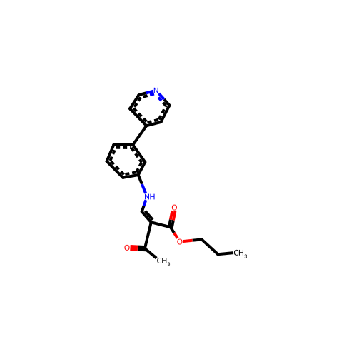 CCCOC(=O)C(=CNc1cccc(-c2ccncc2)c1)C(C)=O